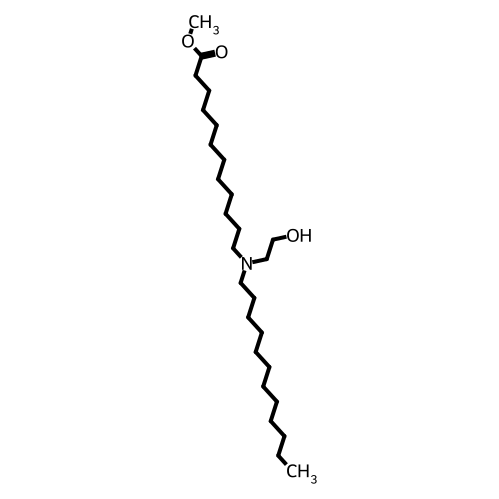 CCCCCCCCCCCCN(CCO)CCCCCCCCCCCC(=O)OC